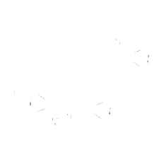 NS(=O)(=O)c1cccc(CCCCOc2ccc(CCNC[C@@H](O)c3ccc(O)c(CO)c3)cc2)c1